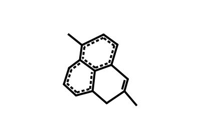 CC1=Cc2ccc(C)c3cccc(c23)C1